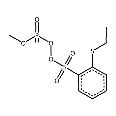 CCSc1ccccc1S(=O)(=O)OO[PH](=O)OC